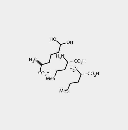 C=C(CCCC(O)O)C(=O)O.CSCC[C@H](N)C(=O)O.CSCC[C@H](N)C(=O)O